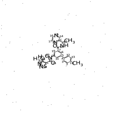 Cc1ccc(-c2cc(C(=O)NC(C)c3cnccn3)cc(N(C)C(=O)c3snnc3C)c2)cc1